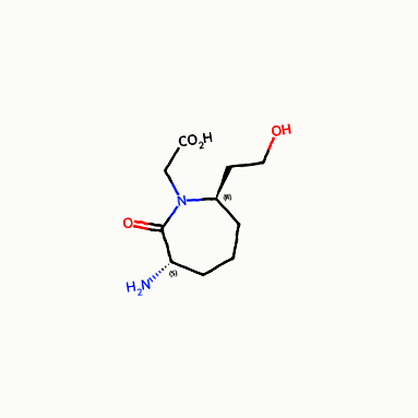 N[C@H]1CCC[C@H](CCO)N(CC(=O)O)C1=O